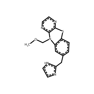 COCN1c2cc(Cc3ncc[nH]3)ccc2Sc2nccnc21